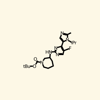 Cc1ncc(-c2nc(NC3CCCCN(C(=O)OC(C)(C)C)C3)ncc2F)n1C(C)C